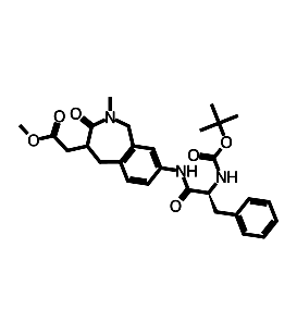 COC(=O)CC1Cc2ccc(NC(=O)[C@H](Cc3ccccc3)NC(=O)OC(C)(C)C)cc2CN(C)C1=O